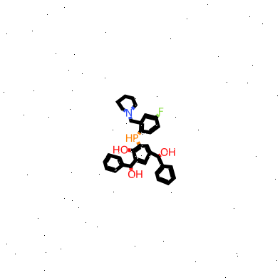 Oc1c(Pc2ccc(F)cc2CN2CCCCC2)cc(C(O)c2ccccc2)cc1C(O)c1ccccc1